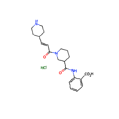 Cl.O=C(O)c1ccccc1NC(=O)C1CCCN(C(=O)C=CC2CCNCC2)C1